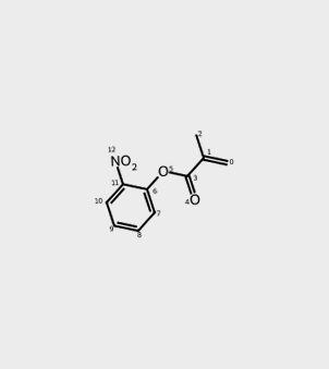 C=C(C)C(=O)Oc1ccccc1[N+](=O)[O-]